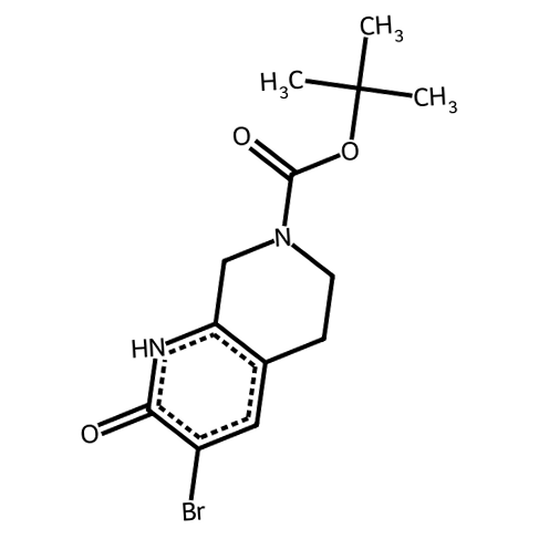 CC(C)(C)OC(=O)N1CCc2cc(Br)c(=O)[nH]c2C1